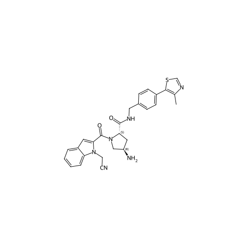 Cc1ncsc1-c1ccc(CNC(=O)[C@@H]2C[C@@H](N)CN2C(=O)c2cc3ccccc3n2CC#N)cc1